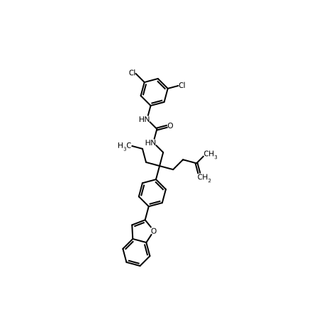 C=C(C)CCC(CCC)(CNC(=O)Nc1cc(Cl)cc(Cl)c1)c1ccc(-c2cc3ccccc3o2)cc1